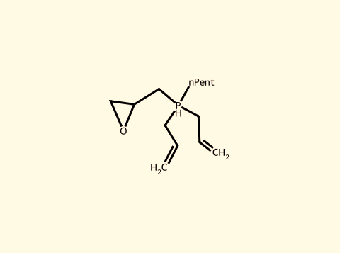 C=CC[PH](CC=C)(CCCCC)CC1CO1